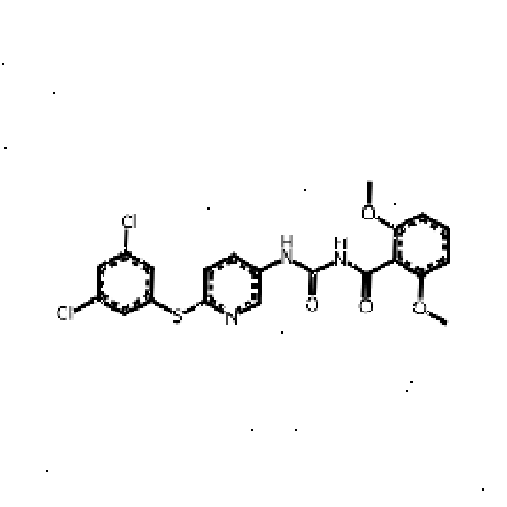 COc1cccc(OC)c1C(=O)NC(=O)Nc1ccc(Sc2cc(Cl)cc(Cl)c2)nc1